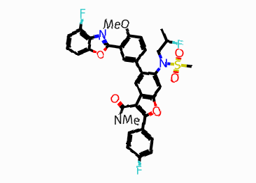 CNC(=O)c1c(-c2ccc(F)cc2)oc2cc(N(CC(C)F)S(C)(=O)=O)c(-c3ccc(OC)c(-c4nc5c(F)cccc5o4)c3)cc12